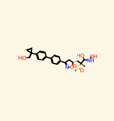 C[C@@](C[C@H]1CC(c2ccc(-c3ccc(C4(CO)CC4)cc3)cc2)=NO1)(C(O)NO)S(C)(=O)=O